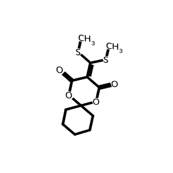 CSC(SC)=C1C(=O)OC2(CCCCC2)OC1=O